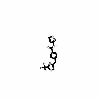 O=C(Nc1ccon1)c1ccc(Cc2noc(C(F)(F)F)n2)cc1